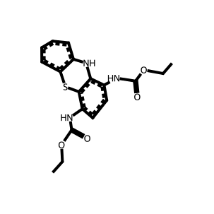 CCOC(=O)Nc1ccc(NC(=O)OCC)c2c1Nc1ccccc1S2